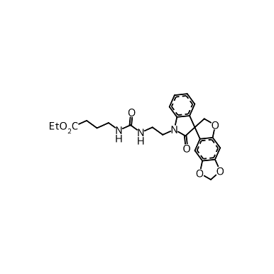 CCOC(=O)CCCNC(=O)NCCN1C(=O)C2(COc3cc4c(cc32)OCO4)c2ccccc21